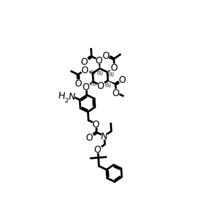 CCN(COC(C)(C)Cc1ccccc1)C(=O)OCc1ccc(O[C@@H]2O[C@H](C(=O)OC)[C@@H](OC(C)=O)[C@H](OC(C)=O)[C@H]2OC(C)=O)c(N)c1